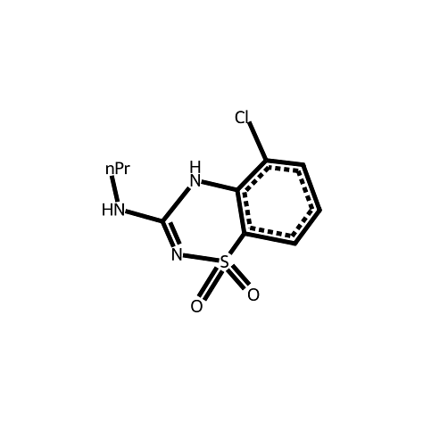 CCCNC1=NS(=O)(=O)c2cccc(Cl)c2N1